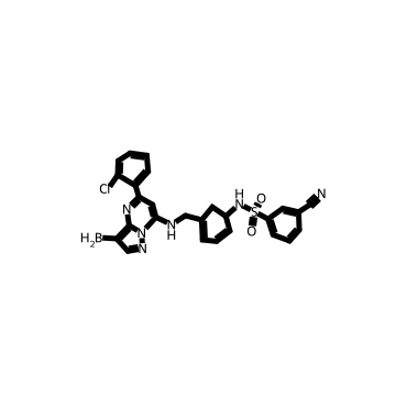 Bc1cnn2c(NCC3=CC=CC(NS(=O)(=O)c4cccc(C#N)c4)C3)cc(-c3ccccc3Cl)nc12